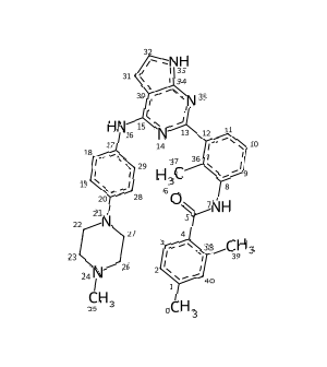 Cc1ccc(C(=O)Nc2cccc(-c3nc(Nc4ccc(N5CCN(C)CC5)cc4)c4cc[nH]c4n3)c2C)c(C)c1